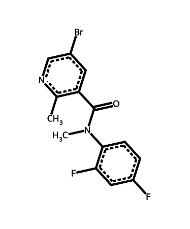 Cc1ncc(Br)cc1C(=O)N(C)c1ccc(F)cc1F